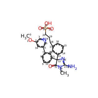 COc1cncc(-c2cccc(C3(c4cccc(CCCS(=O)(=O)O)c4)N=C(N)N(C)C3=O)c2)c1